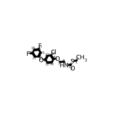 CCSC(=O)NCCOc1ccc(Oc2cc(F)cc(F)c2)cc1Cl